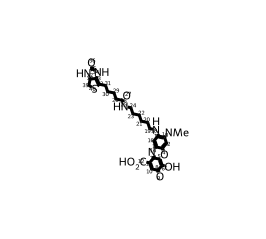 CNc1cc2oc3c(O)c(=O)cc(C(=O)O)c-3nc2cc1NCCCCCCNC(=O)CCCCC1=C2NC(=O)NC2CS1